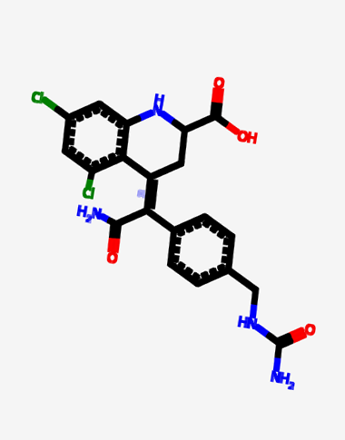 NC(=O)NCc1ccc(/C(C(N)=O)=C2\CC(C(=O)O)Nc3cc(Cl)cc(Cl)c32)cc1